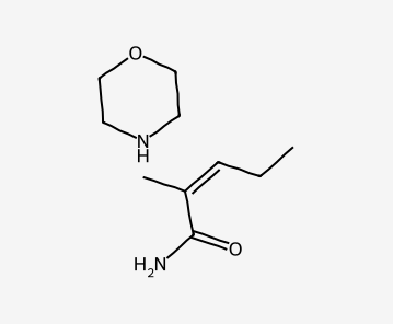 C1COCCN1.CCC=C(C)C(N)=O